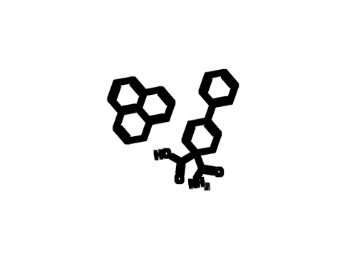 C1=Cc2cccc3cccc(c23)C1.NC(=O)C1(C(=O)O)C=CC(c2ccccc2)=CC1